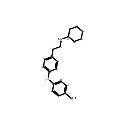 CC(=O)Nc1ccc(Oc2ccc(CCNC3CCCCC3)cc2)cc1